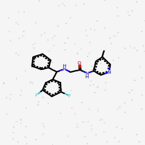 Cc1cncc(NC(=O)CNC(c2ccccc2)c2cc(F)cc(F)c2)c1